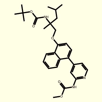 COC(=O)Nc1cc(-c2ccc(OCC(C)(CC(C)C)NC(=O)OC(C)(C)C)c3ccccc23)ccn1